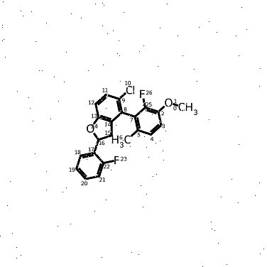 COc1ccc(C)c(-c2c(Cl)ccc3c2CC(c2ccccc2F)O3)c1F